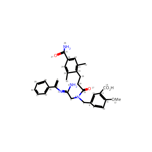 C=C(/N=C(\N)CN(Cc1ccc(OC)c(C(=O)O)c1)C(=O)CCc1c(C)cc(C(N)=O)cc1C)c1ccccc1